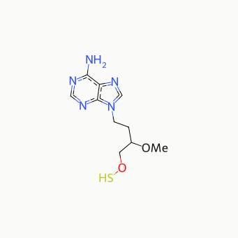 COC(CCn1cnc2c(N)ncnc21)COS